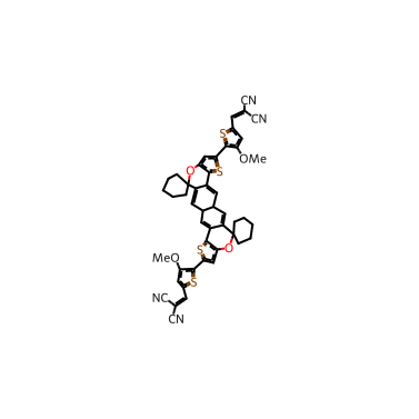 COc1cc(C=C(C#N)C#N)sc1-c1cc2c(s1)C1=CC3C=C4C(=CC3C=C1C1(CCCCC1)O2)c1sc(-c2sc(C=C(C#N)C#N)cc2OC)cc1OC41CCCCC1